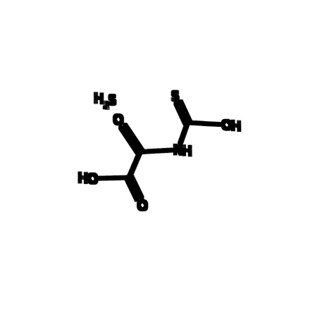 O=C(O)C(=O)NC(O)=S.S